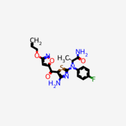 C=CCOc1cc(C(=O)c2sc(N(c3ccc(F)cc3)[C@H](C)C(N)=O)nc2N)on1